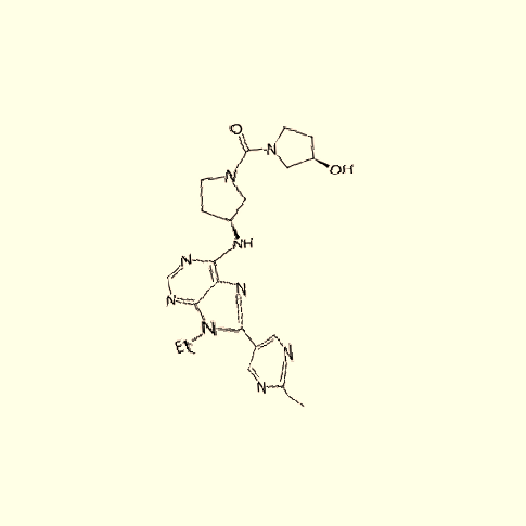 CCn1c(-c2cnc(C)nc2)nc2c(N[C@H]3CCN(C(=O)N4CC[C@@H](O)C4)C3)ncnc21